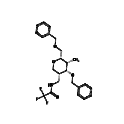 C[C@@H]1[C@H](OCc2ccccc2)[C@H](CNC(=O)C(F)(F)F)CO[C@@H]1COCc1ccccc1